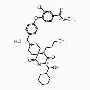 CCCCN1C(=O)[C@@H](C(O)C2CCCCC2)NC(=O)C12CCN(Cc1ccc(Oc3ccc(C(=O)NC)cc3Cl)cc1)CC2.Cl